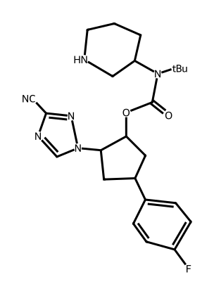 CC(C)(C)N(C(=O)OC1CC(c2ccc(F)cc2)CC1n1cnc(C#N)n1)C1CCCNC1